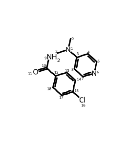 CN(C)c1ccncc1.NC(=O)c1ccc(Cl)cc1